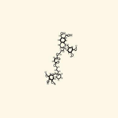 COc1ccc(C[C@@H]2c3cc(CO)c(CO)cc3CC[N@@+]2(C)CCCOC(=O)/C=C\C(=O)OCCC[N+]2(Cc3cc(OC)c(OC)c(OC)c3)CCCC2)cc1OC